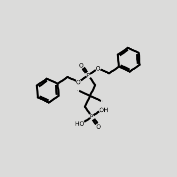 [CH2]C([CH2])(CP(=O)(O)O)CP(=O)(OCc1ccccc1)OCc1ccccc1